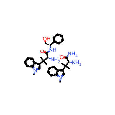 Cn1cc(C(C)(C)[C@H](N)C(=O)N[C@@H](CO)c2ccccc2)c2ccccc21.Cn1cc(C(C)(C)[C@H](N)C(N)=O)c2ccccc21